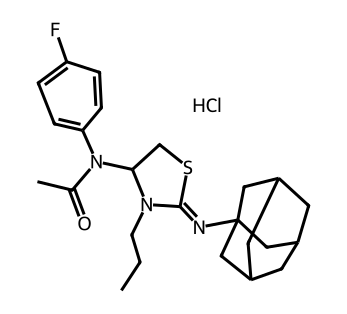 CCCN1C(=NC23CC4CC(CC(C4)C2)C3)SCC1N(C(C)=O)c1ccc(F)cc1.Cl